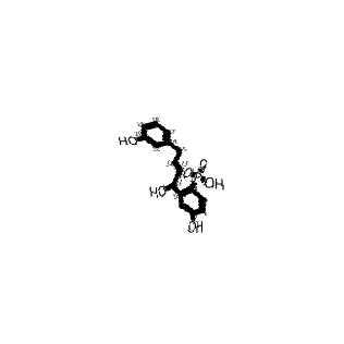 O=P(O)(O)c1ccc(O)cc1C(O)CCCc1cccc(O)c1